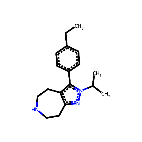 CCc1ccc(-c2c3c(nn2C(C)C)CCNCC3)cc1